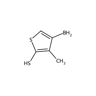 Bc1csc(S)c1C